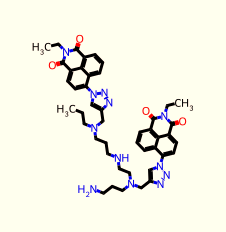 CCCN(CCCNCCN(CCCN)Cc1cn(-c2ccc3c4c(cccc24)C(=O)N(CC)C3=O)nn1)Cc1cn(-c2ccc3c4c(cccc24)C(=O)N(CC)C3=O)nn1